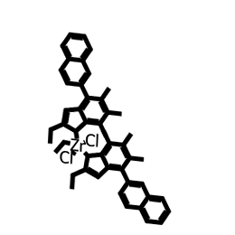 CCC1=Cc2c(-c3ccc4ccccc4c3)c(C)c(C)c(C)c2[CH]1[Zr]([Cl])([Cl])([CH2]C)[CH]1C(CC)=Cc2c(-c3ccc4ccccc4c3)c(C)c(C)c(C)c21